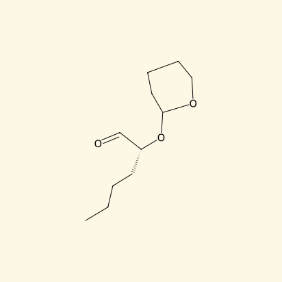 CCCC[C@H](C=O)OC1CCCCO1